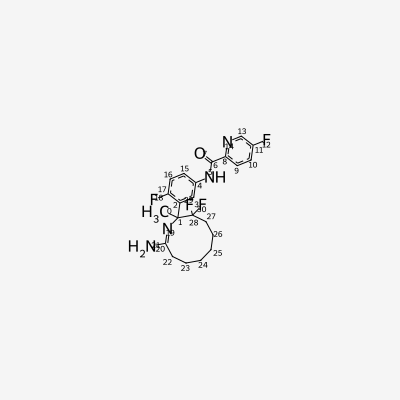 CC1(c2cc(NC(=O)c3ccc(F)cn3)ccc2F)/N=C(/N)CCCCCCC1(F)F